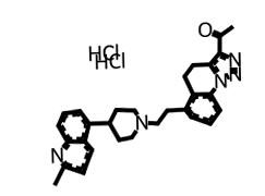 CC(=O)c1nnn2c1CCc1c(CCN3CCC(c4cccc5nc(C)ccc45)CC3)cccc1-2.Cl.Cl